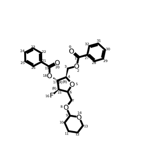 O=C(OC[C@H]1OC(COC2CCCCO2)[C@@H](F)[C@@H]1OC(=O)c1ccccc1)c1ccccc1